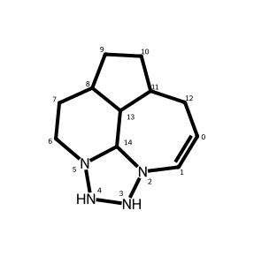 C1=CN2NNN3CCC4CCC(C1)C4C23